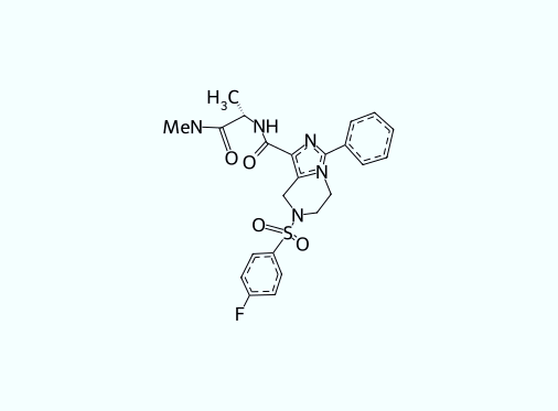 CNC(=O)[C@H](C)NC(=O)c1nc(-c2ccccc2)n2c1CN(S(=O)(=O)c1ccc(F)cc1)CC2